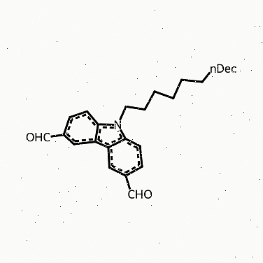 CCCCCCCCCCCCCCCCn1c2ccc(C=O)cc2c2cc(C=O)ccc21